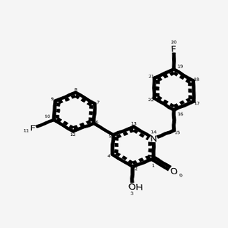 O=c1c(O)cc(-c2cccc(F)c2)cn1Cc1ccc(F)cc1